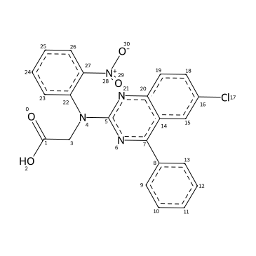 O=C(O)CN(c1nc(-c2ccccc2)c2cc(Cl)ccc2n1)c1ccccc1[N+](=O)[O-]